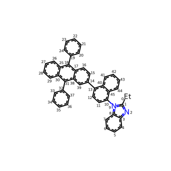 CCc1nc2ccccc2n1-c1ccc(-c2ccc3c(-c4ccccc4)c4ccccc4c(-c4ccccc4)c3c2)c2ccccc12